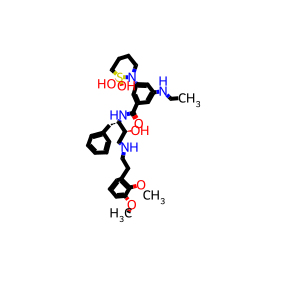 CCNc1cc(C(=O)N[C@@H](Cc2ccccc2)[C@H](O)CNCCc2cccc(OC)c2OC)cc(N2CCCCS2(O)O)c1